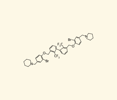 FC(F)(F)c1c(COc2ccc(CN3CCCCC3)cc2Br)cccc1-c1cccc(COc2ccc(CN3CCCCC3)cc2Br)c1C(F)(F)F